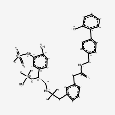 CC(C)(Cc1cccc(CC(=O)NCc2ccc(-c3ccccc3O)cc2)c1)NC[C@H](O[Si](C)(C)C(C)(C)C)c1ccc(O)c(NS(C)(=O)=O)c1